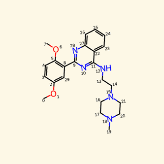 COc1ccc(OC)c(-c2nc(NCCN3CCN(C)CC3)c3ccccc3n2)c1